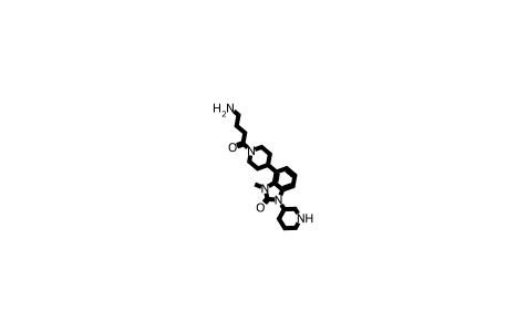 Cn1c(=O)n(C2CCCNC2)c2cccc(C3CCN(C(=O)CCCN)CC3)c21